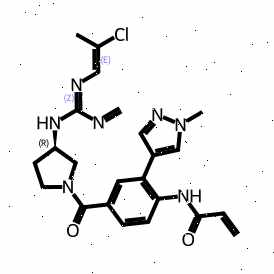 C=CC(=O)Nc1ccc(C(=O)N2CC[C@@H](N/C(N=C)=N/C=C(\C)Cl)C2)cc1-c1cnn(C)c1